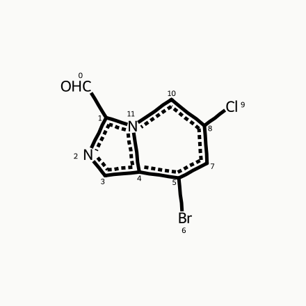 O=Cc1ncc2c(Br)cc(Cl)cn12